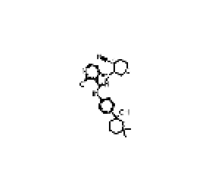 CC1(C)CCCC(O)(c2ccc(Nc3nn(C4COCC[C@@H]4C#N)c4cc[nH]c(=O)c34)cc2)C1